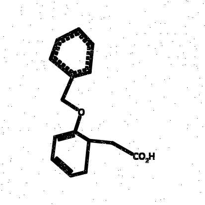 O=C(O)CC1CC=CC=C1OCc1ccccc1